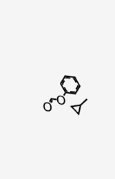 CC1CC1.O=COc1ccccc1